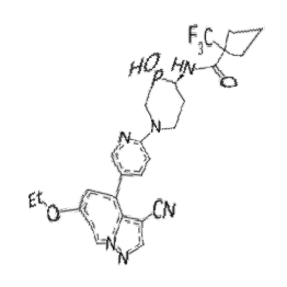 CCOc1cc(-c2ccc(N3CC[C@H](NC(=O)C4(C(F)(F)F)CCC4)P(O)C3)nc2)c2c(C#N)cnn2c1